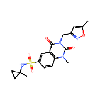 Cc1cc(Cn2c(=O)c3cc(S(=O)(=O)NC4(C)CC4)ccc3n(C)c2=O)no1